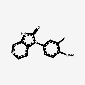 COc1ccc(-n2c(=O)[nH]c3cnccc32)cc1F